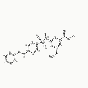 COC(=O)c1cc(CO)cc(N(C)S(=O)(=O)c2ccc(OCc3ccccc3)cc2)c1